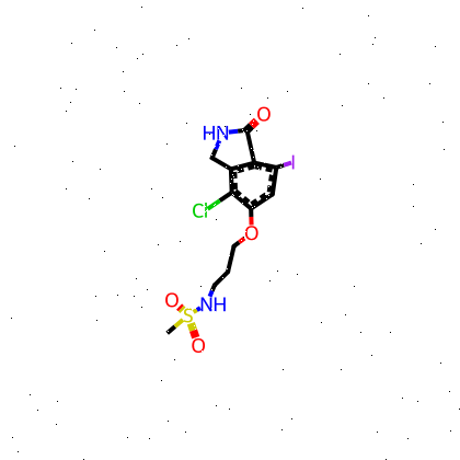 CS(=O)(=O)NCCCOc1cc(I)c2c(c1Cl)CNC2=O